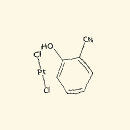 N#Cc1ccccc1O.[Cl][Pt][Cl]